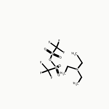 CCN(CC)CC.O=S(=O)(OS(=O)(=O)C(F)(F)F)C(F)(F)F